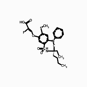 CCCC[C@@]1(CC)CN(c2ccccc2)c2cc(SC)c(O/C=C(\F)C(=O)O)cc2S(=O)(=O)N1